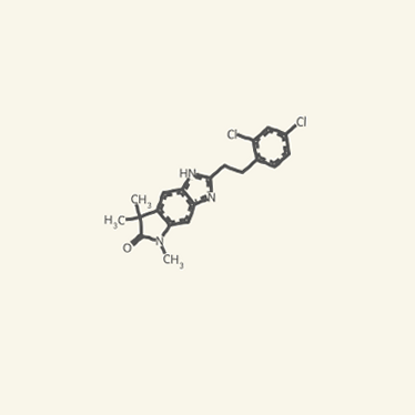 CN1C(=O)C(C)(C)c2cc3[nH]c(CCc4ccc(Cl)cc4Cl)nc3cc21